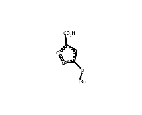 CC(C)(C)Oc1cc(C(=O)O)on1